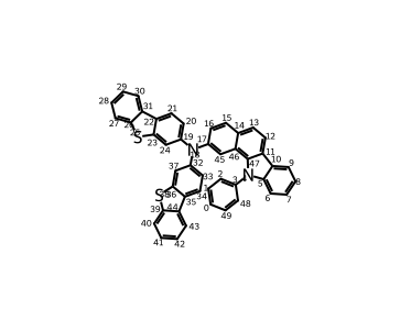 c1ccc(-n2c3ccccc3c3ccc4ccc(N(c5ccc6c(c5)sc5ccccc56)c5ccc6c(c5)sc5ccccc56)cc4c32)cc1